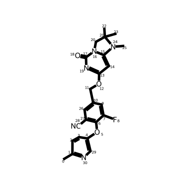 Cc1ccc(Oc2c(F)cc(COc3cc4n(c(=O)n3)CC(C)(C)N4C)cc2C#N)cn1